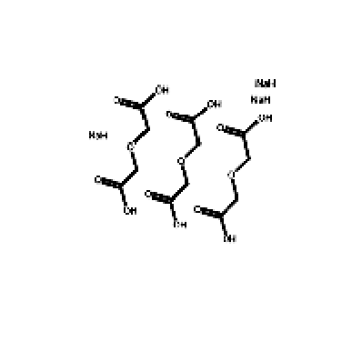 O=C(O)COCC(=O)O.O=C(O)COCC(=O)O.O=C(O)COCC(=O)O.[NaH].[NaH].[NaH]